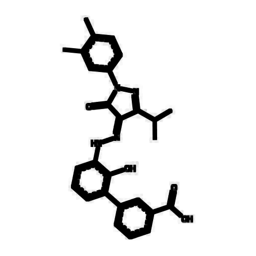 Cc1ccc(N2N=C(C(C)C)C(=NNc3cccc(-c4cccc(C(=O)O)c4)c3O)C2=O)cc1C